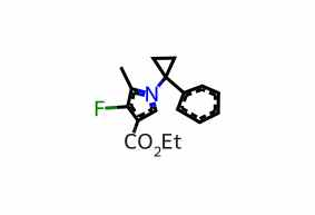 CCOC(=O)c1cn(C2(c3ccccc3)CC2)c(C)c1F